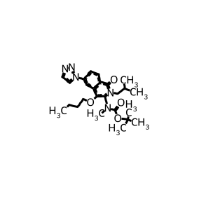 CCCCOc1c(N(C)C(=O)OC(C)(C)C)n(CC(C)C)c(=O)c2ccc(-n3ccnn3)cc12